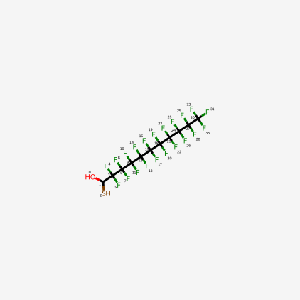 OC(S)C(F)(F)C(F)(F)C(F)(F)C(F)(F)C(F)(F)C(F)(F)C(F)(F)C(F)(F)C(F)(F)C(F)(F)F